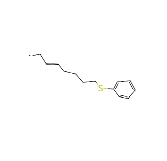 [CH2]CCCCCCCSc1ccccc1